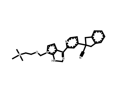 C[Si](C)(C)CCOCn1ccc2c1NCN=C2c1cc(C2(C#N)Cc3ccccc3C2)ccn1